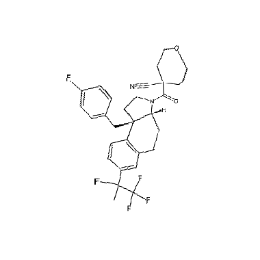 CC(F)(c1ccc2c(c1)CC[C@H]1N(C(=O)C3(C#N)CCOCC3)CC[C@@]21Cc1ccc(F)cc1)C(F)(F)F